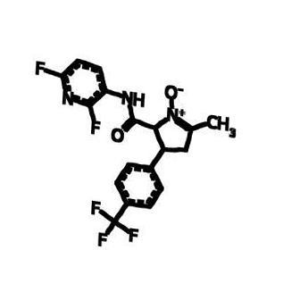 CC1=[N+]([O-])C(C(=O)Nc2ccc(F)nc2F)C(c2ccc(C(F)(F)F)cc2)C1